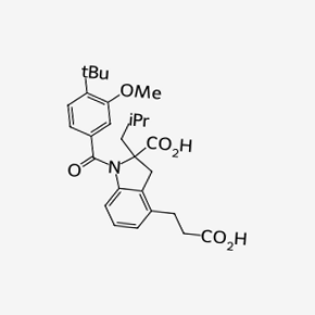 COc1cc(C(=O)N2c3cccc(CCC(=O)O)c3CC2(CC(C)C)C(=O)O)ccc1C(C)(C)C